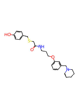 O=C(CSCc1ccc(O)cc1)NCCCOc1cccc(CN2CCCCC2)c1